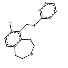 Clc1ccc2c(c1CSc1cccnn1)CCNCC2